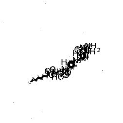 CCCCCCCC(=O)OC(=O)CC[C@H](NC(=O)c1ccc(NCc2cnc3[nH]c(N)nc(=O)c3n2)cc1)C(=O)O